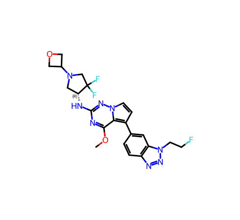 COc1nc(N[C@@H]2CN(C3COC3)CC2(F)F)nn2ccc(-c3ccc4nnn(CCF)c4c3)c12